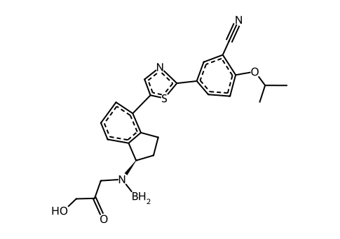 BN(CC(=O)CO)[C@@H]1CCc2c(-c3cnc(-c4ccc(OC(C)C)c(C#N)c4)s3)cccc21